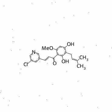 COc1cc(O)c(CC=C(C)C)c(O)c1C(=O)C=Cc1cncc(Cl)c1